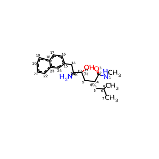 CNC(=O)[C@H](CC(C)C)C[C@H](O)[C@@H](N)Cc1ccc2ccccc2c1